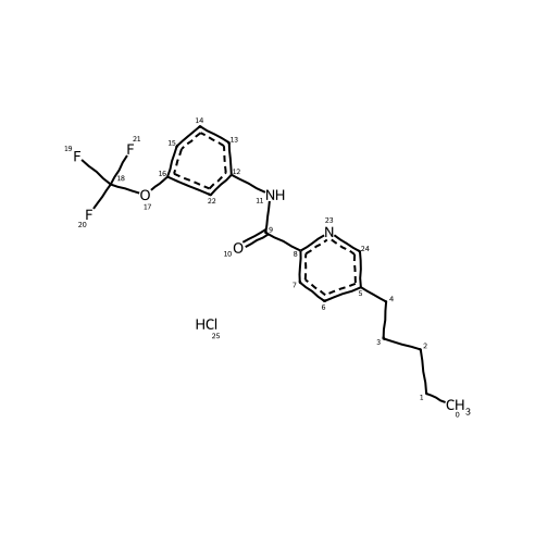 CCCCCc1ccc(C(=O)Nc2cccc(OC(F)(F)F)c2)nc1.Cl